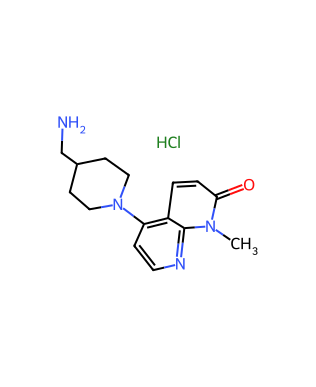 Cl.Cn1c(=O)ccc2c(N3CCC(CN)CC3)ccnc21